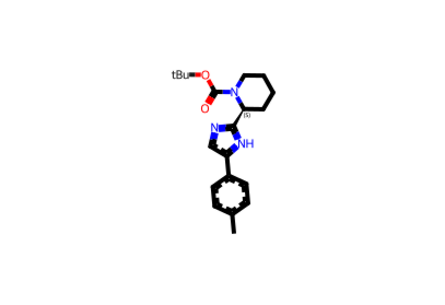 Cc1ccc(-c2cnc([C@@H]3CCCCN3C(=O)OC(C)(C)C)[nH]2)cc1